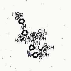 CC(Nc1nc(Nc2ccc(/N=N\c3ccc(S(=O)(=O)O)cc3)cc2OCCCS(=O)(=O)O)nc(Nc2ccc(N=Nc3ccc(S(=O)(=O)O)cc3)cc2S(=O)(=O)O)n1)S(=O)(=O)O